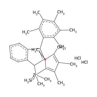 CC1=C(C)C(C)[C]([Zr]([CH3])([CH3])(=[SiH2])[CH]2C=C(c3c(C)c(C)c(C)c(C)c3C)c3ccccc32)=C1C.Cl.Cl